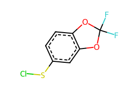 FC1(F)Oc2ccc(SCl)cc2O1